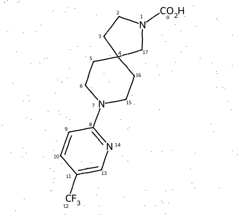 O=C(O)N1CCC2(CCN(c3ccc(C(F)(F)F)cn3)CC2)C1